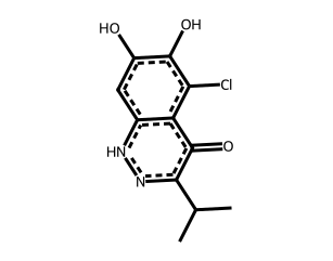 CC(C)c1n[nH]c2cc(O)c(O)c(Cl)c2c1=O